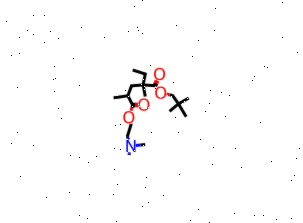 CCC(C)(CC(C)C(=O)OCCN(C)C)C(=O)OCC(C)(C)C